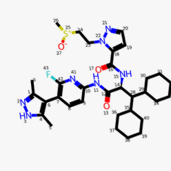 Cc1n[nH]c(C)c1-c1ccc(NC(=O)[C@@H](NC(=O)c2ccnn2CC[S+](C)[O-])C(C2CCCCC2)C2CCCCC2)nc1F